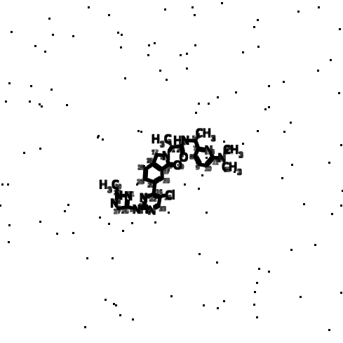 C[C@H](C(=O)N[C@H](C)c1cccc(N(C)C)n1)N1Cc2ccc(-c3nc(Nc4cnn(C)n4)ncc3Cl)cc2C1=O